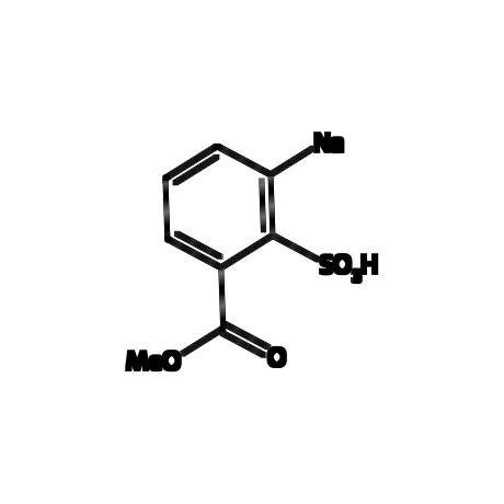 COC(=O)c1ccc[c]([Na])c1S(=O)(=O)O